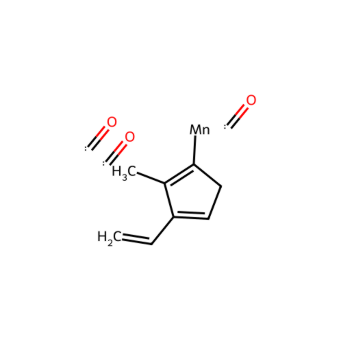 C=CC1=CC[C]([Mn])=C1C.[C]=O.[C]=O.[C]=O